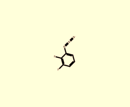 [N-]=[N+]=Nc1cc[c]c(F)c1F